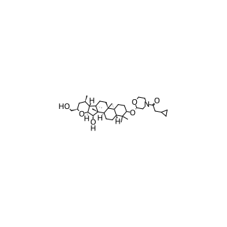 C[C@@H]1C[C@H](CO)O[C@H]2[C@H]1[C@@]1(C)CC[C@@]34C[C@@]35CCC(O[C@H]3CN(C(=O)CC6CC6)CCO3)C(C)(C)[C@@H]5CC[C@H]4[C@]1(C)[C@H]2O